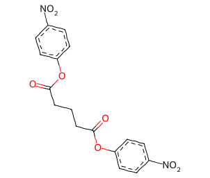 O=C(CCCC(=O)Oc1ccc([N+](=O)[O-])cc1)Oc1ccc([N+](=O)[O-])cc1